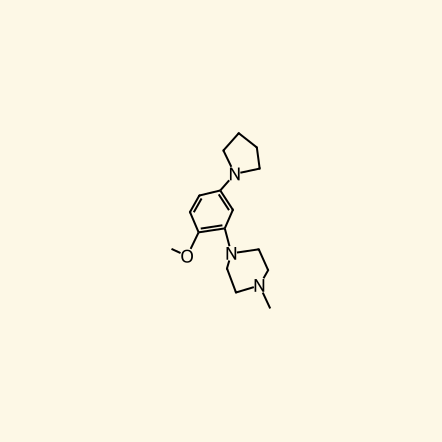 COc1ccc(N2CCCC2)cc1N1CCN(C)CC1